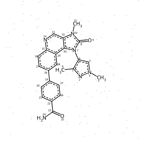 Cc1nn(C)cc1-n1c(=O)n(C)c2cnc3ccc(-c4ccc(C(N)=O)cc4)cc3c21